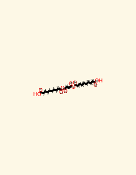 O=C(O)CCCCCCCCC(=O)OC(=O)/C=C/C(=O)OC(=O)CCCCCCCCC(=O)O